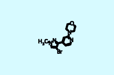 Cn1cc(Br)c(-c2ccnc(N3CCOCC3)c2)n1